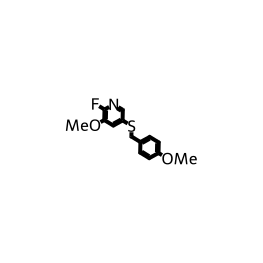 COc1ccc(CSc2cnc(F)c(OC)c2)cc1